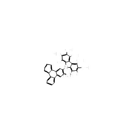 Bc1c(O)c(O)c(O)c2c3c(O)c(O)c(O)c(O)c3n(-c3cc4c5ccccc5c5ccccc5c4cc3C)c12